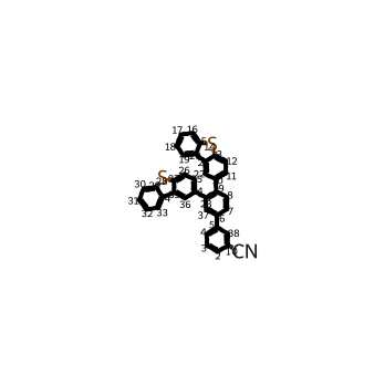 N#Cc1cccc(-c2ccc(-c3ccc4sc5ccccc5c4c3)c(-c3ccc4sc5ccccc5c4c3)c2)c1